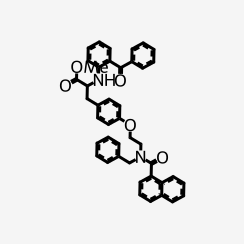 COC(=O)C(Cc1ccc(OCCN(Cc2ccccc2)C(=O)c2cccc3ccccc23)cc1)Nc1ccccc1C(=O)c1ccccc1